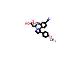 COc1ccc(-c2ccn(C(C)CC(=O)O)c2-c2ccc(C#N)cc2C)cc1